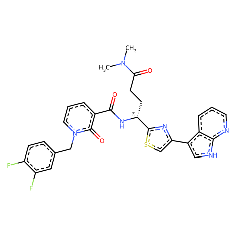 CN(C)C(=O)CC[C@@H](NC(=O)c1cccn(Cc2ccc(F)c(F)c2)c1=O)c1nc(-c2c[nH]c3ncccc23)cs1